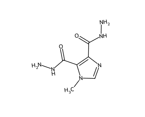 Cn1cnc(C(=O)NN)c1C(=O)NN